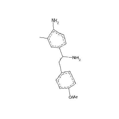 COc1ccc(CC(N)c2ccc(N)c(C)c2)cc1